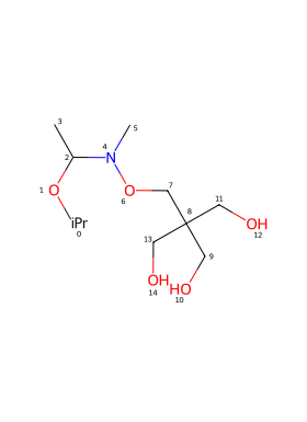 CC(C)OC(C)N(C)OCC(CO)(CO)CO